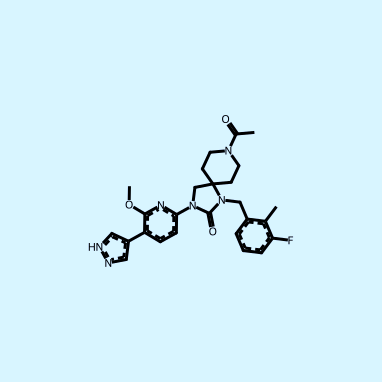 COc1nc(N2CC3(CCN(C(C)=O)CC3)N(Cc3cccc(F)c3C)C2=O)ccc1-c1cn[nH]c1